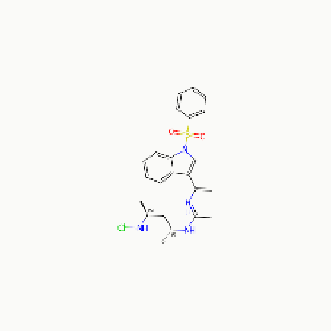 C=C(/N=C(\C)N[C@H](C)C[C@H](C)NCl)c1cn(S(=O)(=O)c2ccccc2)c2ccccc12